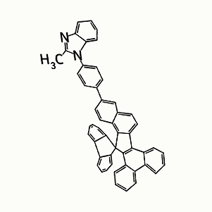 Cc1nc2ccccc2n1-c1ccc(-c2ccc3c4c(ccc3c2)-c2c(c3ccccc3c3ccccc23)C42c3ccccc3-c3ccccc32)cc1